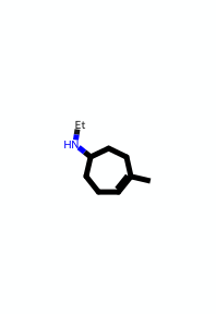 CCNC1CCC=C(C)CC1